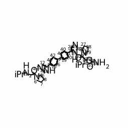 CC(C)NCC(=O)N1CCC[C@H]1c1ncc(-c2ccc(-c3ccc(-c4cnc([C@@H]5CCCN5C(=O)[C@@H](OC(N)=O)C(C)C)[nH]4)cc3)cc2)[nH]1